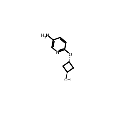 Nc1ccc(O[C@H]2C[C@H](O)C2)nc1